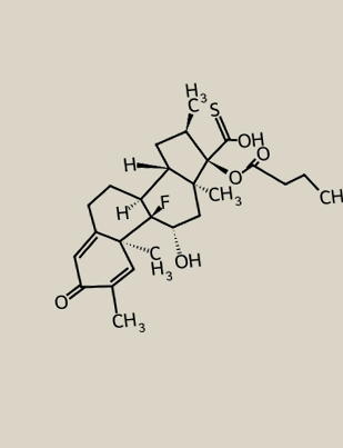 CCCC(=O)O[C@]1(C(O)=S)[C@H](C)C[C@H]2[C@@H]3CCC4=CC(=O)C(C)=C[C@]4(C)[C@@]3(F)[C@@H](O)C[C@@]21C